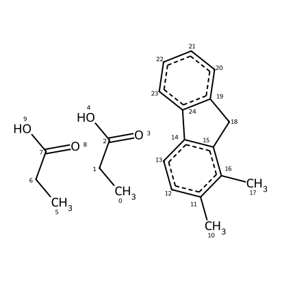 CCC(=O)O.CCC(=O)O.Cc1ccc2c(c1C)Cc1ccccc1-2